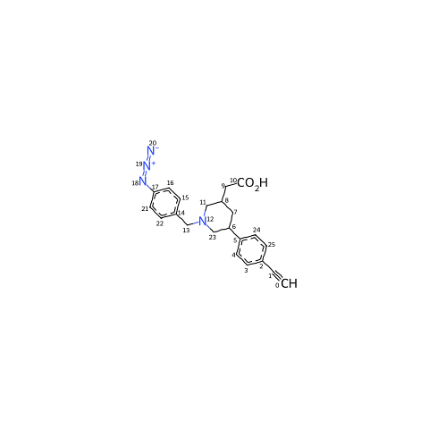 C#Cc1ccc(C2CC(CC(=O)O)CN(Cc3ccc(N=[N+]=[N-])cc3)C2)cc1